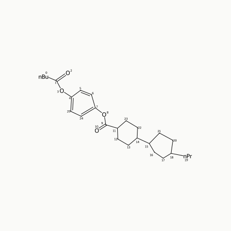 CCCCC(=O)Oc1ccc(OC(=O)C2CCC(C3CCC(CCC)CC3)CC2)cc1